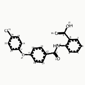 O=C(Nc1ccccc1C(=O)O)c1ccc(Oc2ccc(Cl)cc2)cc1